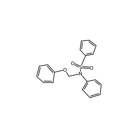 O=S(=O)(c1ccccc1)N(COc1ccccc1)c1ccccc1